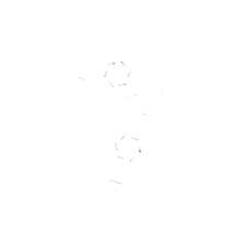 N#Cc1ccc2c(c1)[C@H]1CN(Cc3ccc4c(c3)OC=CO4)C[C@@H]1CO2